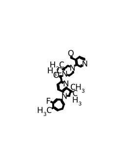 CC1=CCC=C(N2CC(C)(C)c3nc(C(=O)N4CCN(c5cnccc5C=O)CC4(C)C)ccc32)C=C1F